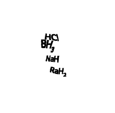 B.Cl.[NaH].[RaH2]